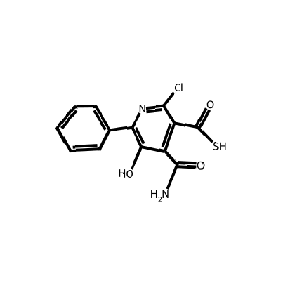 NC(=O)c1c(O)c(-c2ccccc2)nc(Cl)c1C(=O)S